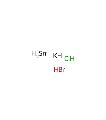 Br.Cl.[KH].[SnH2]